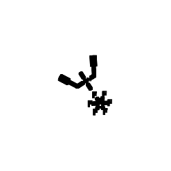 C#CC[N+](C)(C)CC#C.F[P-](F)(F)(F)(F)F